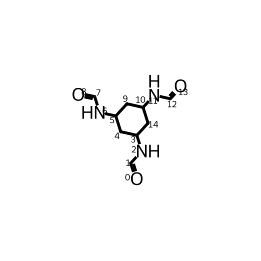 O=CNC1CC(NC=O)CC(NC=O)C1